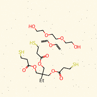 C=COC=C.CCC(COC(=O)CCS)(COC(=O)CCS)COC(=O)CCS.OCCOCCOCCO